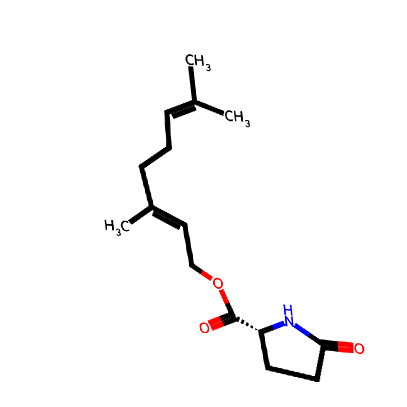 CC(C)=CCC/C(C)=C/COC(=O)[C@H]1CCC(=O)N1